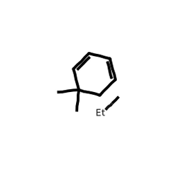 CC1(C)C=CC=CC1.CCC